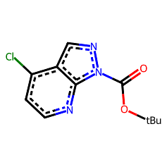 CC(C)(C)OC(=O)n1ncc2c(Cl)ccnc21